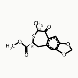 COC(=O)[C@H]1Cc2cc3c(cc2C(=O)[C@H](C)S1)OCO3